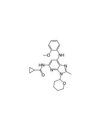 COc1ccccc1Nc1cc(NC(=O)C2CC2)nc2c1nc(C)n2C1CCCCO1